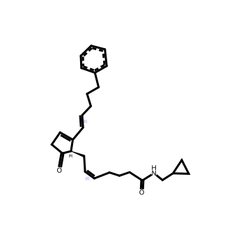 O=C(CCC/C=C\C[C@H]1C(=O)CC=C1/C=C/CCCc1ccccc1)NCC1CC1